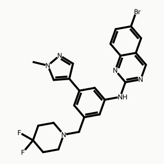 Cn1cc(-c2cc(CN3CCC(F)(F)CC3)cc(Nc3ncc4cc(Br)ccc4n3)c2)cn1